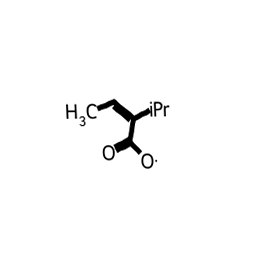 C/C=C(\C([O])=O)C(C)C